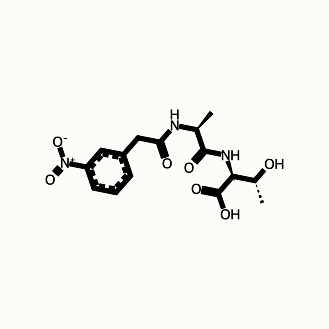 C[C@H](NC(=O)Cc1cccc([N+](=O)[O-])c1)C(=O)N[C@H](C(=O)O)[C@@H](C)O